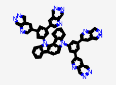 c1ccc2c(c1)c1c(ccc3c4ccccc4n(-c4cc(-c5cnc6cnncc6c5)cc(-c5cnc6cnncc6c5)c4)c31)n2-c1cc(-c2cnc3cnncc3c2)cc(-c2cnc3cnncc3c2)c1